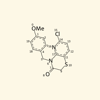 COc1ccc(CN2C(=O)CSc3ccc(Cl)nc32)cc1